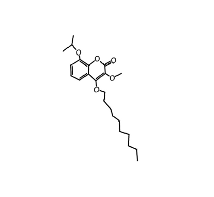 CCCCCCCCCCOc1c(OC)c(=O)oc2c(OC(C)C)cccc12